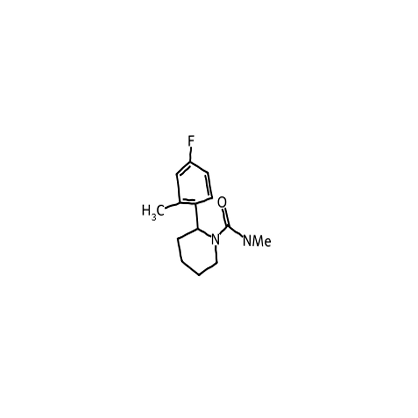 CNC(=O)N1CCCCC1c1ccc(F)cc1C